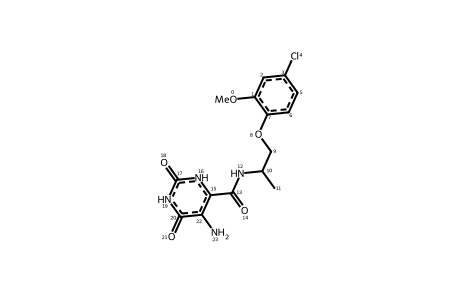 COc1cc(Cl)ccc1OCC(C)NC(=O)c1[nH]c(=O)[nH]c(=O)c1N